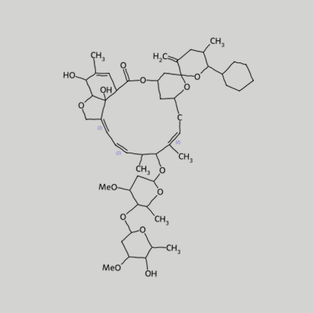 C=C1CC(C)C(C2CCCCC2)OC12CC1CC(C/C=C(/C)C(OC3CC(OC)C(OC4CC(OC)C(O)C(C)O4)C(C)O3)C(C)/C=C\C=C3\COC4C(O)C(C)=CC(C(=O)O1)C34O)O2